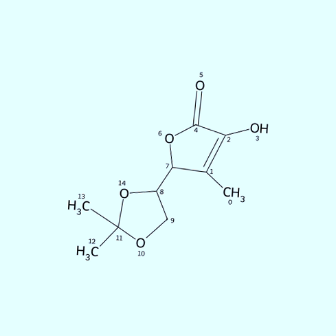 CC1=C(O)C(=O)OC1C1COC(C)(C)O1